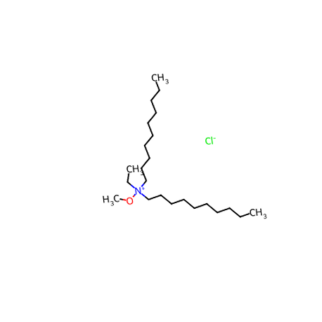 CCCCCCCCCC[N+](CC)(CCCCCCCCCC)OC.[Cl-]